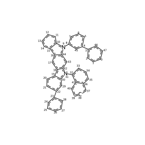 c1ccc(-c2cccc(-n3c4ccccc4c4cc5c6ccc(-c7ccccc7)cc6n(-c6cccc7ccccc67)c5cc43)c2)cc1